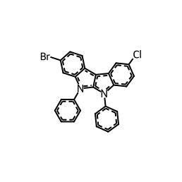 Clc1ccc2c(c1)c1c3ccc(Br)cc3n(-c3ccccc3)c1n2-c1ccccc1